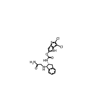 NC(=O)CN[C@@H]1c2ccccc2C[C@H]1NC(=O)Oc1cc2sc(Cl)c(Cl)c2[nH]1